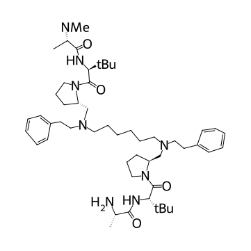 CN[C@@H](C)C(=O)N[C@H](C(=O)N1CCC[C@H]1CN(CCCCCCN(CCc1ccccc1)C[C@@H]1CCCN1C(=O)[C@@H](NC(=O)[C@H](C)N)C(C)(C)C)CCc1ccccc1)C(C)(C)C